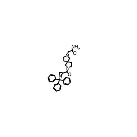 NC(=O)CN1CC[C@]2(CCN(C(=O)C3C[N@]3C(c3ccccc3)(c3ccccc3)c3ccccc3)C2)C1